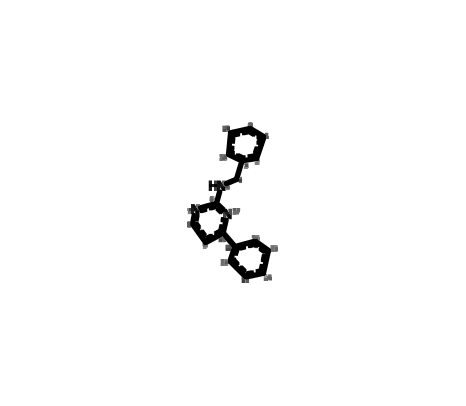 c1ccc(CNc2nccc(-c3ccccc3)n2)cc1